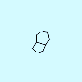 C1CC2CSCC2CN1